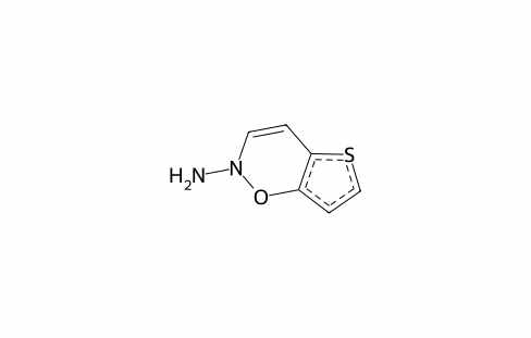 NN1C=Cc2sccc2O1